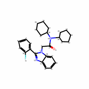 O=C(Cn1c(-c2ccccc2F)nc2ccccc21)N(C1CCCCC1)C1CCCCC1